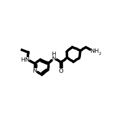 CCNc1cc(NC(=O)C2CCC(CN)CC2)ccn1